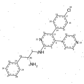 N[C@@H](CNc1cc(-c2ccncc2)c(-c2ccc(Cl)cc2)cn1)Cc1ccccc1